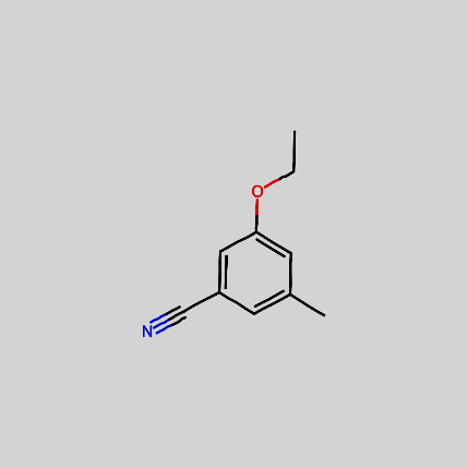 CCOc1cc(C)cc(C#N)c1